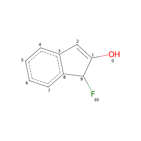 OC1=Cc2ccccc2C1F